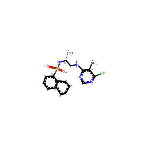 O=C(O)[C@H](CNc1ncnc(Cl)c1[N+](=O)[O-])NS(=O)(=O)c1cccc2ccccc12